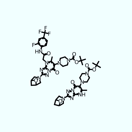 Cc1[nH]c2nc(N3CC4CC(C3)O4)nn2c(=O)c1N1CCN(C(=O)OC(C)(C)C)CC1.Cc1c(N2CCN(C(=O)OC(C)(C)C)CC2)c(=O)n2nc(N3CC4CC(C3)O4)nc2n1CC(=O)Nc1ccc(C(F)(F)F)cc1F